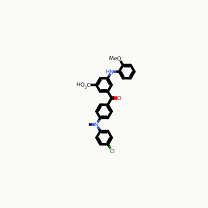 COc1ccccc1Nc1cc(C(=O)O)cc(C(=O)c2ccc(N(C)c3ccc(Cl)cc3)cc2)c1